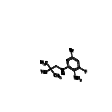 CC(C)(O)CNc1cc(Br)cc(F)c1N